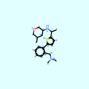 CC1COC[C](NC(C)c2ccc(-c3ccccc3CN(C)C)s2)C1